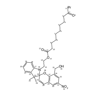 CC(C)C(=O)CCCCCCCCC(=O)OCCN1c2ccccc2C(C)(C)C12C=Cc1cc([N+](=O)[O-])cc(CO)c1O2